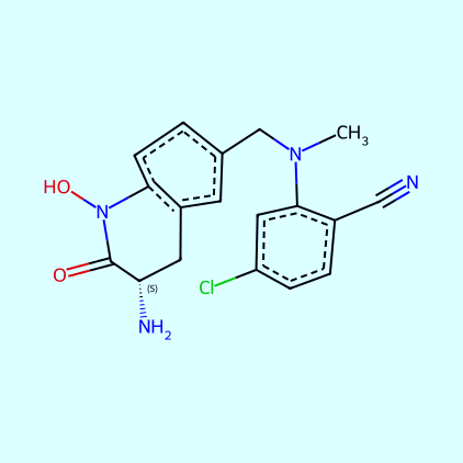 CN(Cc1ccc2c(c1)C[C@H](N)C(=O)N2O)c1cc(Cl)ccc1C#N